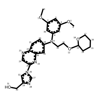 COc1cc(OC)cc(N(CCOC2CCCCO2)c2ccc3ncc(-n4cnc(CO)c4)nc3c2)c1